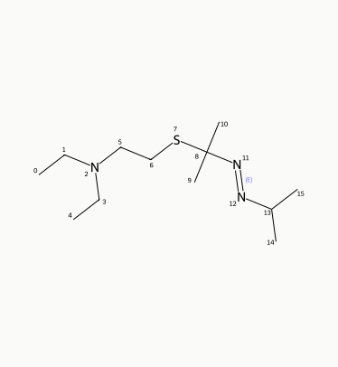 CCN(CC)CCSC(C)(C)/N=N/C(C)C